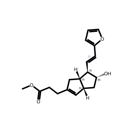 COC(=O)CCC1=C[C@H]2C[C@@H](O)[C@H](/C=C/c3ccco3)[C@H]2C1